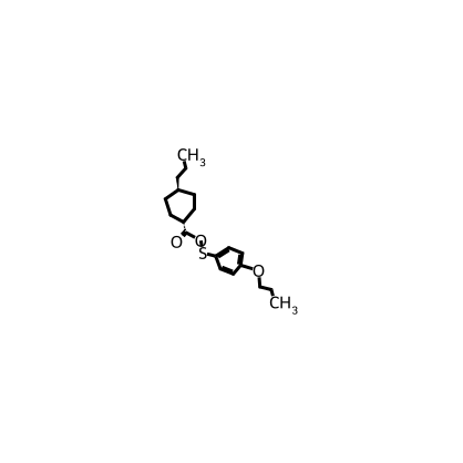 CCCOc1ccc(SOC(=O)[C@H]2CC[C@H](CCC)CC2)cc1